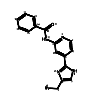 CC(C)Cc1c[nH]c(-c2ccnc(NC(=O)c3ccccc3)c2)n1